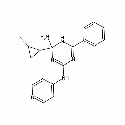 CC1CC1C1(N)N=C(Nc2ccncc2)N=C(c2ccccc2)N1